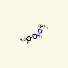 CC(=O)N1CCN(C(=O)C2CCN(c3ccc(C)c(F)c3)CC2)CC1